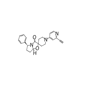 C#Cc1cc(N2CCC3(CC2)O[C@@H]2CC[C@@H](c4ccccc4)N2C3=O)ccn1